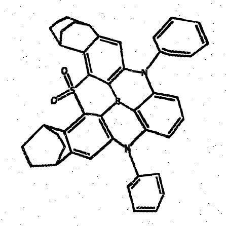 O=S1(=O)c2c3c(cc4c2C2CCC4CC2)N(c2ccccc2)c2cccc4c2B3c2c(cc3c(c21)C1CCC3CC1)N4c1ccccc1